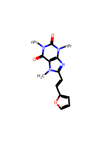 CCCn1c(=O)c2c(nc(C=Cc3ccco3)n2C)n(CCC)c1=O